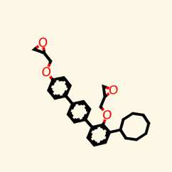 c1cc(-c2ccc(-c3ccc(OCC4CO4)cc3)cc2)c(OCC2CO2)c(C2CCCCCCC2)c1